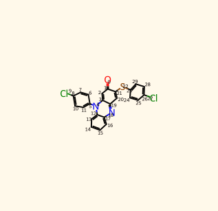 O=c1cc2n(-c3ccc(Cl)cc3)c3ccccc3nc-2cc1Sc1ccc(Cl)cc1